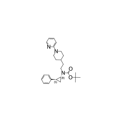 CC(C)(C)OC(=O)N(CCC1CCN(c2ccccn2)CC1)[C@@H]1C[C@H]1c1ccccc1